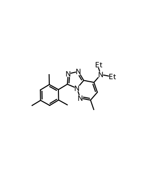 CCN(CC)c1cc(C)nn2c(-c3c(C)cc(C)cc3C)nnc12